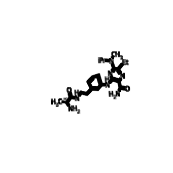 CCc1nc(C(N)=O)c(Nc2cccc(CCNC(=O)[C@H](C)N)c2)nc1N(C)C(C)C